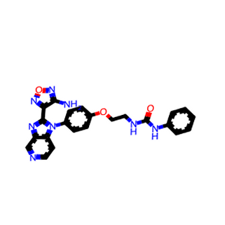 Nc1nonc1-c1nc2cnccc2n1-c1ccc(OCCNC(=O)Nc2ccccc2)cc1